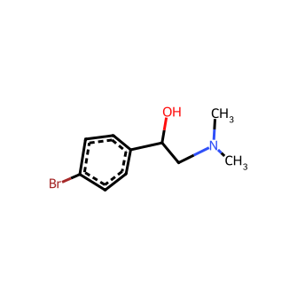 CN(C)CC(O)c1ccc(Br)cc1